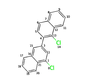 Clc1[c]c(-c2ccc3ccccc3c2Cl)cc2ccccc12